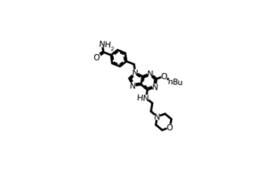 CCCCOc1nc(NCCN2CCOCC2)c2ncn(Cc3ccc(C(N)=O)cc3)c2n1